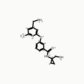 NCc1cc(Oc2cccc(C(=O)NC3(CO)CC3)c2)nc(C(F)(F)F)c1